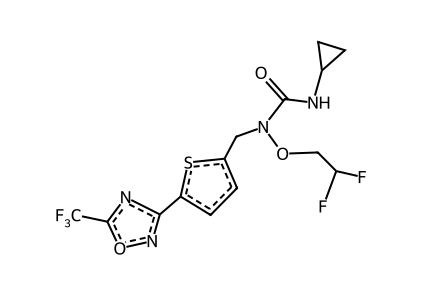 O=C(NC1CC1)N(Cc1ccc(-c2noc(C(F)(F)F)n2)s1)OCC(F)F